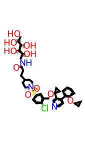 O=C(CCC1CCN(S(=O)(=O)c2ccc(Cl)c(COC3(c4cnccc4-c4ccccc4OC4CC4)CC3)c2)CC1)NC[C@H](O)[C@@H](O)[C@H](O)[C@H](O)CO